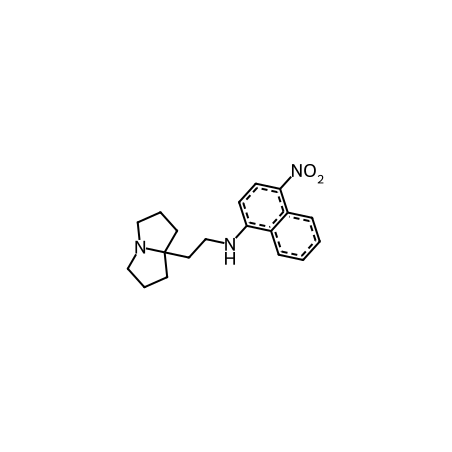 O=[N+]([O-])c1ccc(NCCC23CCCN2CCC3)c2ccccc12